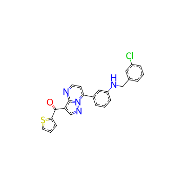 O=C(c1cccs1)c1cnn2c(-c3cccc(NCc4cccc(Cl)c4)c3)ccnc12